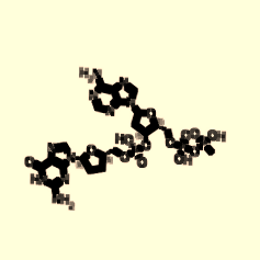 CP(=O)(O)OP(=O)(O)OC[C@H]1OC(n2cnc3c(N)ncnc32)C[C@@H]1OP(=O)(O)OC[C@@H]1CC[C@H](n2cnc3c(=O)[nH]c(N)nc32)O1